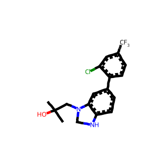 CC(C)(O)CN1CNc2ccc(-c3ccc(C(F)(F)F)cc3Cl)cc21